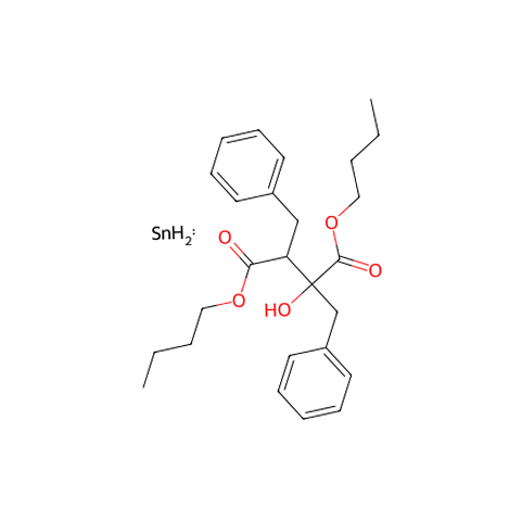 CCCCOC(=O)C(Cc1ccccc1)C(O)(Cc1ccccc1)C(=O)OCCCC.[SnH2]